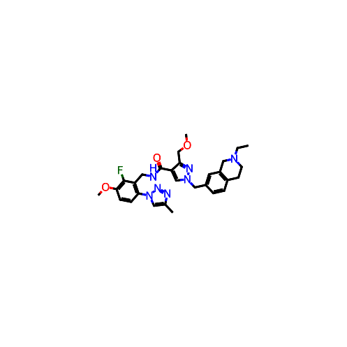 CCN1CCc2ccc(Cn3cc(C(=O)NCc4c(-n5cc(C)nn5)ccc(OC)c4F)c(COC)n3)cc2C1